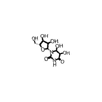 O=C1NC(=O)N([C@@H]2O[C@H](CO)C(O)C2O)C(O)C1O